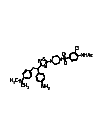 CC(=O)Nc1ccc(S(=O)(=O)N2CCN(c3nc(C(Cc4ccc(N(C)C)cc4)c4ccc(N)cc4)ns3)CC2)cc1Cl